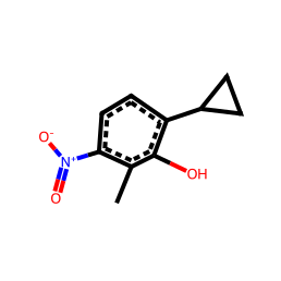 Cc1c([N+](=O)[O-])ccc(C2CC2)c1O